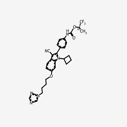 C[C@@H](OC(=O)Nc1ccc(-c2c(C#N)c3ccc(OCCCCn4cncn4)cc3n2C2CCC2)cc1)C(F)(F)F